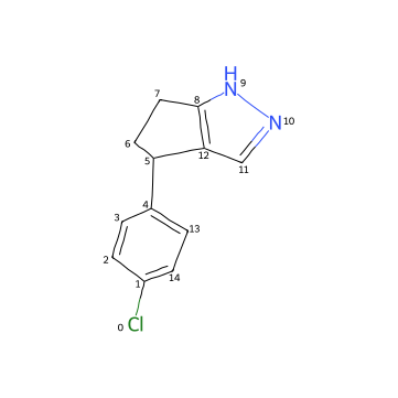 Clc1ccc(C2CCc3[nH]ncc32)cc1